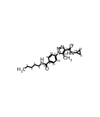 CCCCCNC(=O)c1ccc(-n2nnc(C(=O)NC3CC3)c2C)cc1